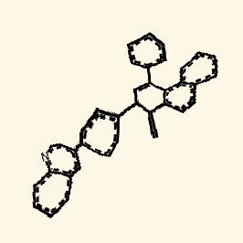 C=C1c2ccc3ccccc3c2C(c2ccccc2)=CC1c1ccc(-c2cnc3ccccc3c2)cc1